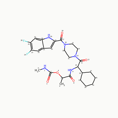 CNC(=O)OC(C)C(=O)NC(C(=O)N1CCN(C(=O)c2cc3cc(F)c(F)cc3[nH]2)CC1)C1CCCCC1